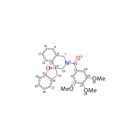 COc1cc(C(=O)N2Cc3ccccc3C3(Cc4ccccc4O3)C2)cc(OC)c1OC